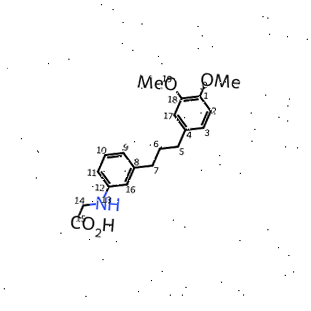 COc1ccc(CCCc2cccc(NCC(=O)O)c2)cc1OC